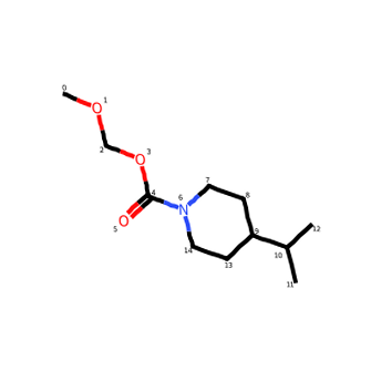 COCOC(=O)N1CCC(C(C)C)CC1